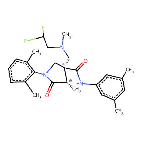 Cc1cccc(C)c1N1C[C@@](CN(C)CC(F)F)(C(=O)Nc2cc(C(F)(F)F)cc(C(F)(F)F)c2)[C@H](C)C1=O